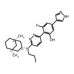 C[C@]12CCC[C@](C)(C[C@@H](N(CCF)c3ccc(-c4c(O)cc(-c5cn[nH]c5)cc4F)nn3)C1)C2